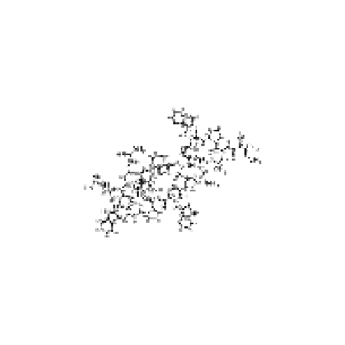 CC[C@H](C)[C@H](N)C(=O)N[C@@H](CC(C)C)C(=O)N1CCC[C@H]1C(=O)N[C@@H](Cc1c[nH]c2ccccc12)C(=O)N[C@@H](CCCCN)C(=O)N[C@@H](Cc1c[nH]c2ccccc12)C(=O)N1CCC[C@H]1C(=O)N[C@@H](Cc1c[nH]c2ccccc12)C(=O)N[C@@H](Cc1c[nH]c2ccccc12)C(=O)N1CCC[C@H]1C(=O)N[C@@H](Cc1c[nH]c2ccccc12)C(=O)N[C@@H](CCCNC(=N)N)C(=O)N[C@@H](CCCNC(=N)N)C(=O)O